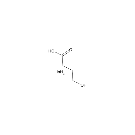 O=C(O)CCCO.[InH3]